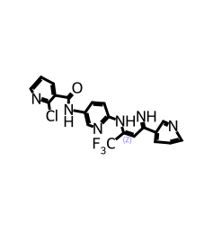 N=C(/C=C(\Nc1ccc(NC(=O)c2cccnc2Cl)cn1)C(F)(F)F)c1cccnc1